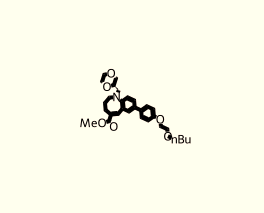 CCCCOCCOc1ccc(-c2ccc3c(c2)/C=C(/C(=O)OC)CCCN3C[C@H]2COCCO2)cc1